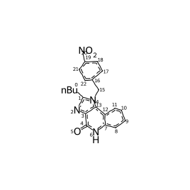 CCCCc1nc2c(=O)[nH]c3ccccc3c2n1Cc1ccc([N+](=O)[O-])cc1